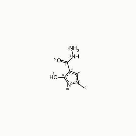 Cn1cc(C(=O)NN)c(O)n1